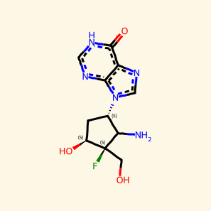 NC1[C@@H](n2cnc3c(=O)[nH]cnc32)C[C@H](O)[C@@]1(F)CO